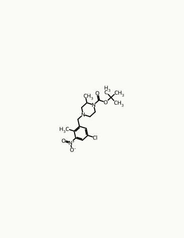 Cc1c(CN2CCN(C(=O)OC(C)(C)C)C(C)C2)cc(Cl)cc1[N+](=O)[O-]